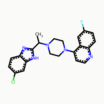 CC(c1nc2ccc(Cl)cc2[nH]1)N1CCN(c2ccnc3ccc(F)cc23)CC1